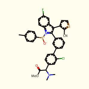 COC(=O)C(c1ccc(-c2cccc(-c3c(-c4ccsc4C#N)c4cc(F)ccc4n3[S+]([O-])c3ccc(C)cc3)c2)c(Cl)c1)N(C)C